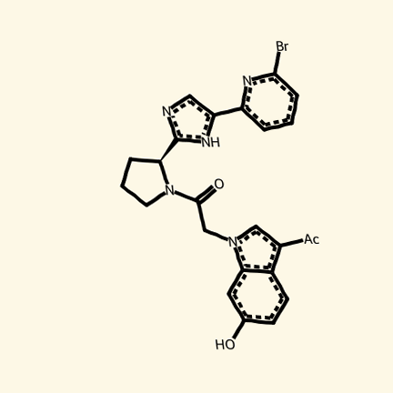 CC(=O)c1cn(CC(=O)N2CCC[C@H]2c2ncc(-c3cccc(Br)n3)[nH]2)c2cc(O)ccc12